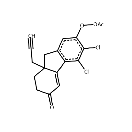 C#CCC12CCC(=O)C=C1c1c(cc(OOC(C)=O)c(Cl)c1Cl)C2